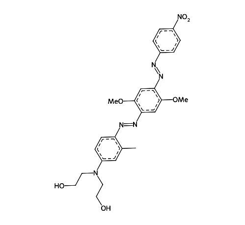 COc1cc(N=Nc2ccc(N(CCO)CCO)cc2C)c(OC)cc1N=Nc1ccc([N+](=O)[O-])cc1